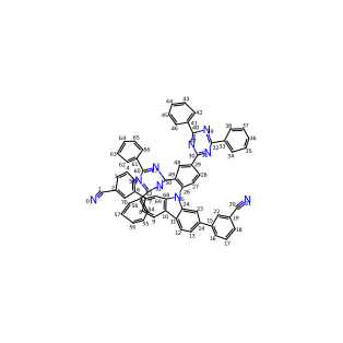 N#Cc1cccc(-c2ccc3c4ccc(-c5cccc(C#N)c5)cc4n(-c4ccc(-c5nc(-c6ccccc6)nc(-c6ccccc6)n5)cc4-c4nc(-c5ccccc5)nc(-c5ccccc5)n4)c3c2)c1